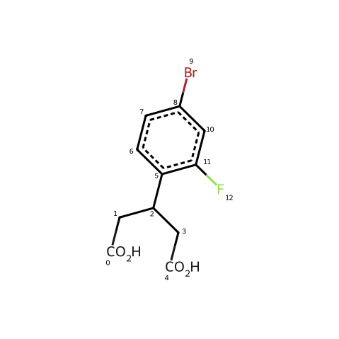 O=C(O)CC(CC(=O)O)c1ccc(Br)cc1F